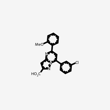 COc1ccccc1-c1cc(-c2cccc(Cl)c2)n2nc(C(=O)O)cc2n1